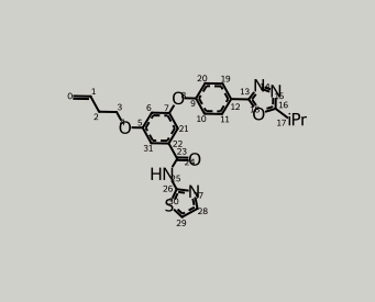 C=CCCOc1cc(Oc2ccc(-c3nnc(C(C)C)o3)cc2)cc(C(=O)Nc2nccs2)c1